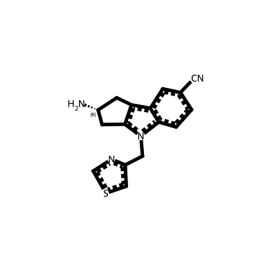 N#Cc1ccc2c(c1)c1c(n2Cc2cscn2)C[C@H](N)C1